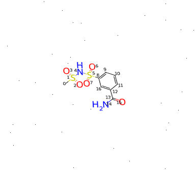 CS(=O)(=O)NS(=O)(=O)c1cccc(C(N)=O)c1